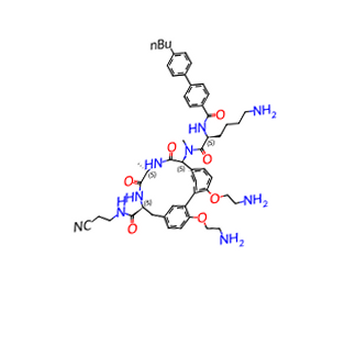 CCCCc1ccc(-c2ccc(C(=O)N[C@@H](CCCCN)C(=O)N(C)[C@@H]3C(=O)N[C@@H](C)C(=O)N[C@H](C(=O)NCCC#N)Cc4ccc(OCCN)c(c4)-c4cc3ccc4OCCN)cc2)cc1